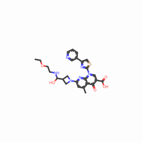 CCOCCNC(O)C1CN(c2cc(C)c3c(=O)c(C(=O)O)cn(-c4nc(-c5cccnc5)cs4)c3n2)C1